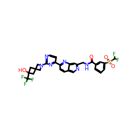 O=C(NCc1cc2nc(-c3ccnc(N4CC5(C4)CC(O)(C(F)(F)F)C5)n3)ccc2cn1)c1cccc(S(=O)(=O)C(F)F)c1